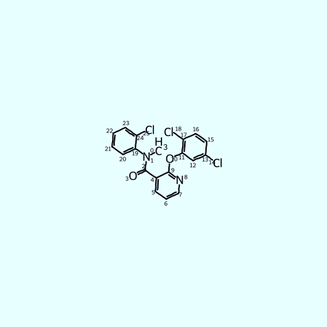 CN(C(=O)c1cccnc1Oc1cc(Cl)ccc1Cl)c1ccccc1Cl